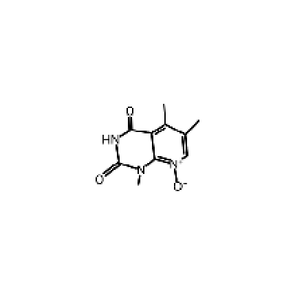 Cc1c[n+]([O-])c2c(c1C)c(=O)[nH]c(=O)n2C